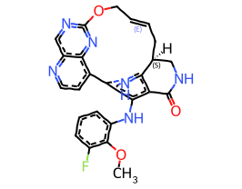 COc1c(F)cccc1Nc1c2[nH]c3c1C(=O)NC[C@@H]3C/C=C/COc1ncc3nccc-2c3n1